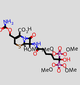 COOP(=O)(OOC)C(O)(CCCCC(=O)NC1(OC)C(=O)N2C(C(=O)O)=C(COC(N)=O)CS[C@H]21)P(=O)(OOC)OOC